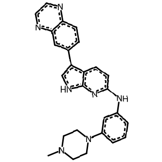 CN1CCN(c2cccc(Nc3ccc4c(-c5ccc6nccnc6c5)c[nH]c4n3)c2)CC1